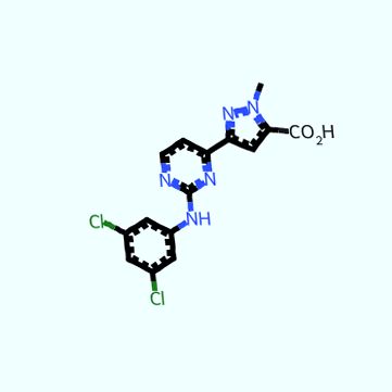 Cn1nc(-c2ccnc(Nc3cc(Cl)cc(Cl)c3)n2)cc1C(=O)O